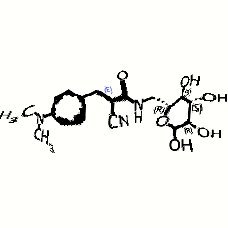 CN(C)c1ccc(/C=C(\C#N)C(=O)NC[C@H]2OC(O)[C@H](O)[C@@H](O)[C@@H]2O)cc1